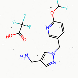 NCc1cnn(Cc2ccc(OC(F)F)nc2)c1.O=C(O)C(F)(F)F